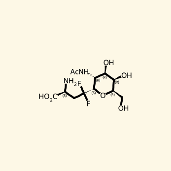 CC(=O)N[C@@H]1[C@@H](O)[C@@H](O)[C@@H](CO)O[C@@H]1C(F)(F)C[C@H](N)C(=O)O